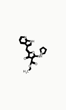 CCOC(=O)C1=C(NN2CCCC2)OC(=Cc2c[nH]c3ncccc23)C1=O